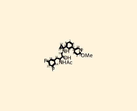 COc1ccc(-c2cccc(C3(NCC(O)C(Cc4cc(F)cc(F)c4)NC(C)=O)CC3)c2)cn1